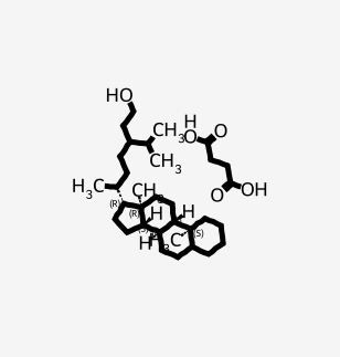 CC(C)C(CCO)CCC(C)[C@H]1CC[C@H]2[C@@H]3CCC4CCCC[C@]4(C)[C@H]3CC[C@]12C.O=C(O)CCC(=O)O